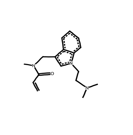 C=CC(=O)N(C)Cc1cn(CCN(C)C)c2ccccc12